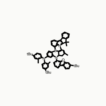 CC1=CC2=C3B(c4ccc(N(c5ccc(C(C)(C)C)cc5C)c5ccc(C(C)(C)C)cc5C)cc4N(c4cccc5c4oc4cc(C(C)(C)C)ccc45)C3C1)c1cccc3c4c(n2c13)C(C)(C)c1ccccc1-4